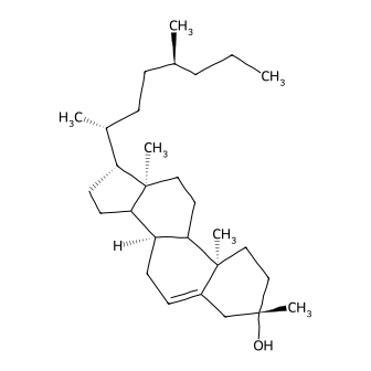 CCC[C@H](C)CC[C@@H](C)[C@H]1CCC2[C@@H]3CC=C4C[C@@](C)(O)CC[C@]4(C)C3CC[C@@]21C